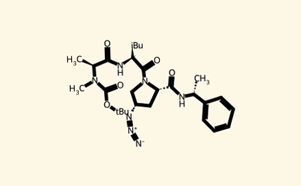 CC[C@H](C)[C@H](NC(=O)[C@H](C)N(C)C(=O)OC(C)(C)C)C(=O)N1C[C@@H](N=[N+]=[N-])C[C@H]1C(=O)N[C@H](C)c1ccccc1